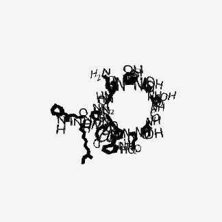 CCC(C)CCCCCCC(=O)NC(Cc1c[nH]c2ccccc12)C(=O)NC(CC(N)=O)C(=O)NC(CC(=O)O)C(=O)NC1C(=O)NCC(=O)NC(CCCN)C(=O)NC(CC(=O)O)C(=O)NC(CO)C(=O)NC(CC(=O)O)C(=O)NCC(=O)NC(CO)C(=O)NC(CCC(=O)O)C(=O)NC(CC(=O)c2ccccc2N)C(=O)OC1C